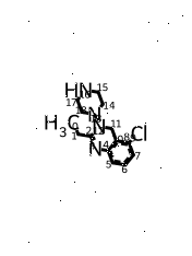 CCC1=Nc2cccc(Cl)c2CN1N1CCNCC1